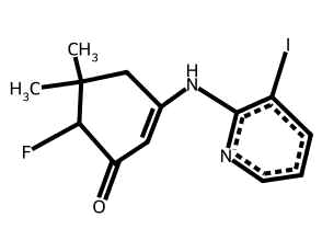 CC1(C)CC(Nc2ncccc2I)=CC(=O)C1F